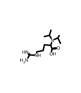 CC(C)N(C(C)C)C(CCCNC(=N)N)C(=O)O